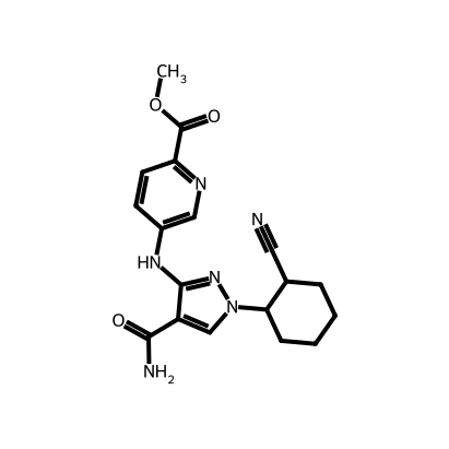 COC(=O)c1ccc(Nc2nn(C3CCCCC3C#N)cc2C(N)=O)cn1